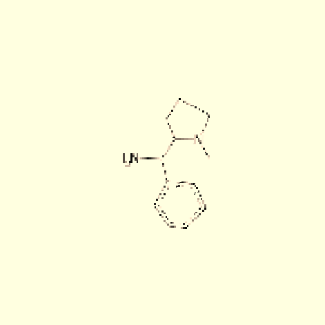 CN1CCCC1C(N)c1ccccc1